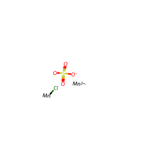 O=S(=O)([O-])[O-].[Cl][Mn].[Mn+2]